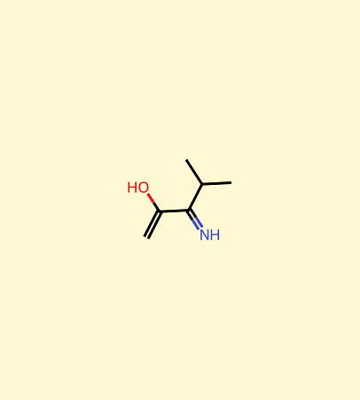 C=C(O)C(=N)C(C)C